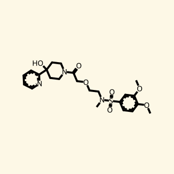 COc1ccc(S(=O)(=O)N(C)CCOCC(=O)N2CCC(O)(c3ccccn3)CC2)cc1OC